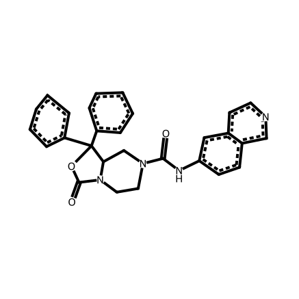 O=C(Nc1ccc2cnccc2c1)N1CCN2C(=O)OC(c3ccccc3)(c3ccccc3)C2C1